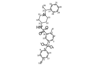 Cc1ccc(S(=O)(=O)c2ccc(F)cc2)cc1S(=O)(=O)NC1CCN(C(I)c2ccccc2)CC1